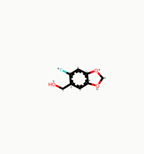 OCc1cc2c(cc1F)OCO2